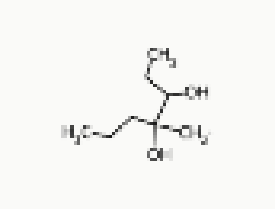 [CH2]C(O)(CCC)C(O)CC